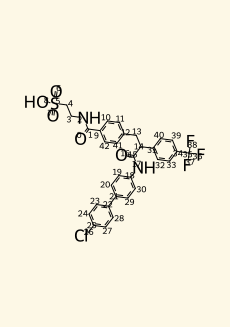 O=C(NCCS(=O)(=O)O)c1ccc(CC(C(=O)Nc2ccc(-c3ccc(Cl)cc3)cc2)c2ccc(C(F)(F)F)cc2)cc1